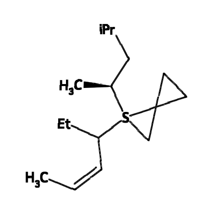 C/C=C\C(CC)S1([C@@H](C)CC(C)C)CC12CC2